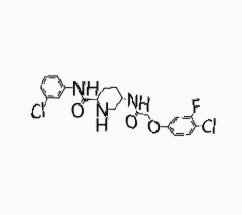 O=C(COc1ccc(Cl)c(F)c1)N[C@H]1CC[C@H](C(=O)Nc2cccc(Cl)c2)NC1